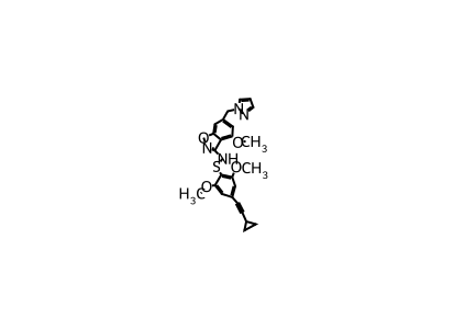 COc1cc(C#CC2CC2)cc(OC)c1SNc1noc2cc(Cn3cccn3)cc(OC)c12